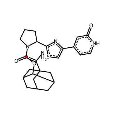 NC(=O)C12CC3CC(C1)C(OC(=O)N1CCCC1c1nc(-c4cc[nH]c(=O)c4)cs1)C(C3)C2